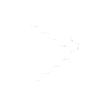 CCCCCC(O)/C=C/C1CCC(=O)N1CC(O)CCCCCO